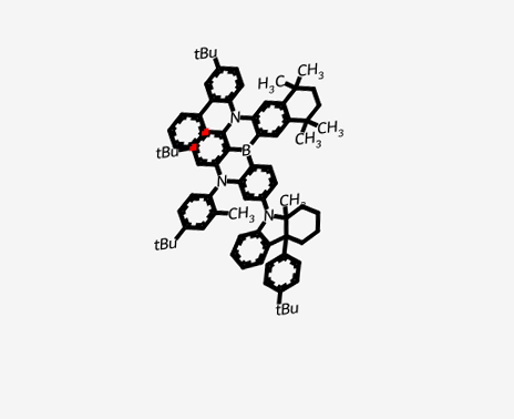 Cc1cc(C(C)(C)C)ccc1N1c2cc(N3c4ccccc4C4(c5ccc(C(C)(C)C)cc5)CCCCC34C)ccc2B2c3cc4c(cc3N(c3ccc(C(C)(C)C)cc3-c3ccccc3)c3cc(C(C)(C)C)cc1c32)C(C)(C)CCC4(C)C